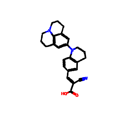 N#C/C(=C\c1ccc2c(c1)CCCN2c1cc2c3c(c1)CCCN3CCC2)C(=O)O